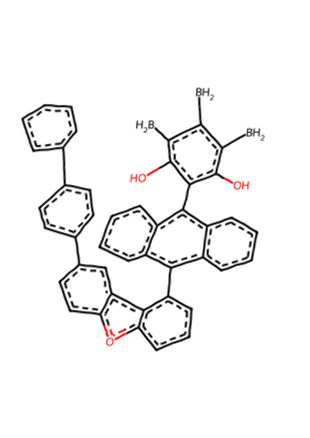 Bc1c(B)c(O)c(-c2c3ccccc3c(-c3cccc4oc5ccc(-c6ccc(-c7ccccc7)cc6)cc5c34)c3ccccc23)c(O)c1B